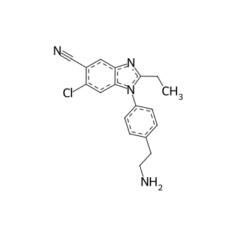 CCc1nc2cc(C#N)c(Cl)cc2n1-c1ccc(CCN)cc1